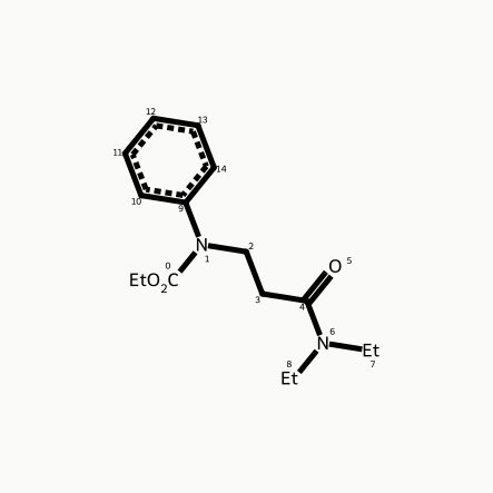 CCOC(=O)N(CCC(=O)N(CC)CC)c1ccccc1